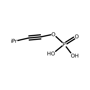 CC(C)C#COP(=O)(O)O